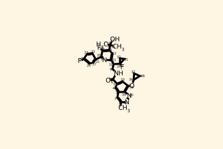 Cc1cc2cc(C(=O)NCC(c3cc(C(C)(C)O)c(F)c(-c4ccc(F)cc4)n3)C3(F)CC3)cc(OC3CC3)c2nn1